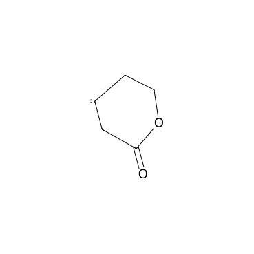 O=C1C[C]CCO1